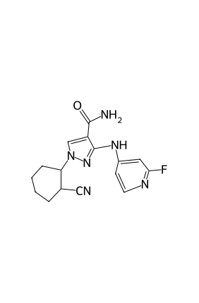 N#CC1CCCCC1n1cc(C(N)=O)c(Nc2ccnc(F)c2)n1